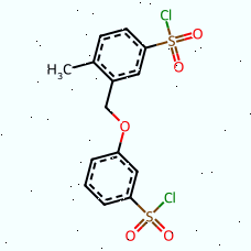 Cc1ccc(S(=O)(=O)Cl)cc1COc1cccc(S(=O)(=O)Cl)c1